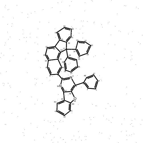 c1ccc(-c2nc(-c3ccc4ccc5c(c4c3)C(c3ccccc3)(c3ccccc3)c3ccccc3-5)nc3c2oc2ccccc23)cc1